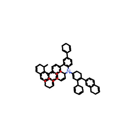 CC1CC=Cc2ccc3ccc4cc(-c5cc(C6=CCCC=C6)ccc5N(C5=CC(C6C=CC=CC6)=C(c6ccc7c(c6)CCC=C7)CC5)C5C=CC(C6=CCCC=C6)=CC5)ccc4c3c21